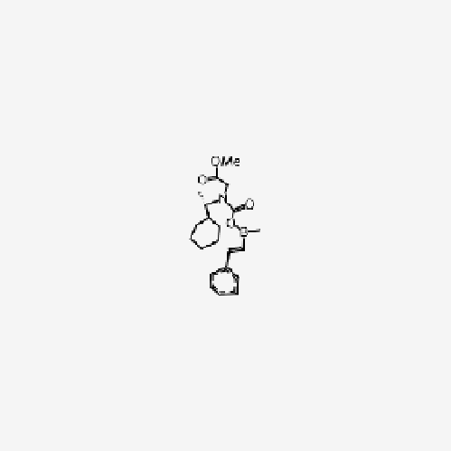 COC(=O)CN(C(=O)OB(C)/C=C/c1ccccc1)[C@@H](C)C1CCCCC1